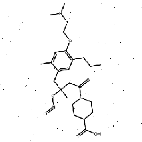 CCCc1cc(CC(C)(CC(=O)N2CCC(C(=O)O)CC2)SN=O)c(C)cc1OCCN(C)C